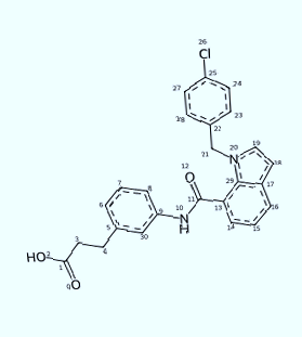 O=C(O)CCc1cccc(NC(=O)c2cccc3ccn(Cc4ccc(Cl)cc4)c23)c1